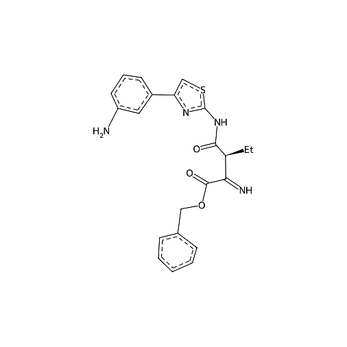 CC[C@@H](C(=N)C(=O)OCc1ccccc1)C(=O)Nc1nc(-c2cccc(N)c2)cs1